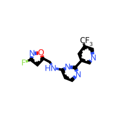 Fc1cc(CNc2ccnc(-c3cncc(C(F)(F)F)c3)n2)on1